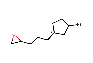 CCC1CC[C@H](CCCC2CO2)C1